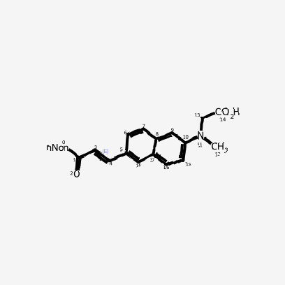 CCCCCCCCCC(=O)/C=C/c1ccc2cc(N(C)CC(=O)O)ccc2c1